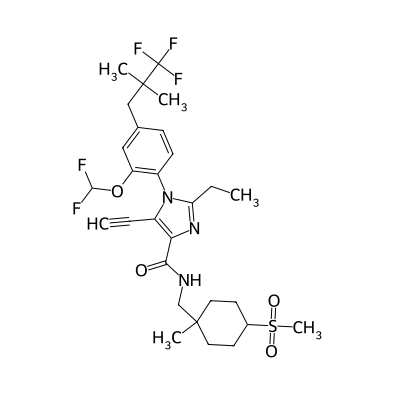 C#Cc1c(C(=O)NCC2(C)CCC(S(C)(=O)=O)CC2)nc(CC)n1-c1ccc(CC(C)(C)C(F)(F)F)cc1OC(F)F